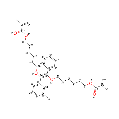 C=C(C)C(=O)OCCCCCCOC(=C(OCCCCCCOC(=O)C(=C)C)c1cccc(C)c1)c1ccccc1